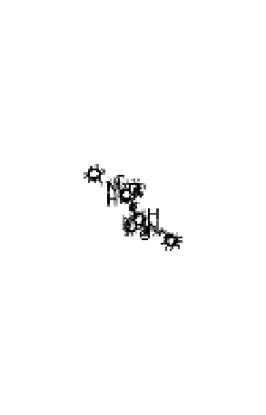 O=C(NCCc1ccccc1)c1ccc(SSc2ccc(C(=O)NCCc3ccccc3)c3cccnc23)c2ncccc12